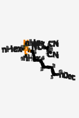 CCCCCCCCCCCCCCCC[PH](CCCCCC)(CCCCCC)CCCCCC.N#CC(C#N)C#N